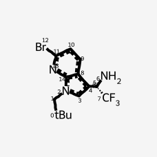 CC(C)(C)Cn1cc([C@H](N)C(F)(F)F)c2ccc(Br)nc21